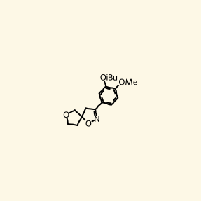 COc1ccc(C2=NOC3(CCOC3)C2)cc1OCC(C)C